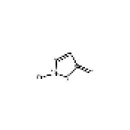 C=C1C=CN(C(C)C)C1